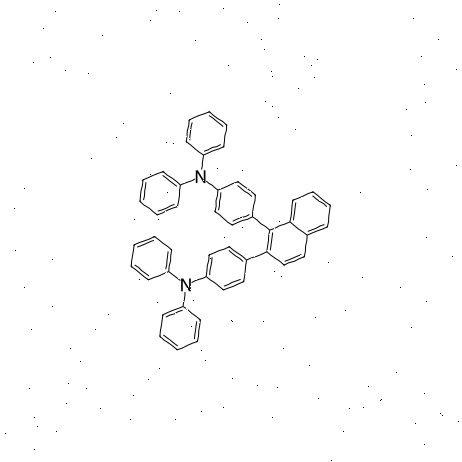 c1ccc(N(c2ccccc2)c2ccc(-c3ccc4ccccc4c3-c3ccc(N(c4ccccc4)c4ccccc4)cc3)cc2)cc1